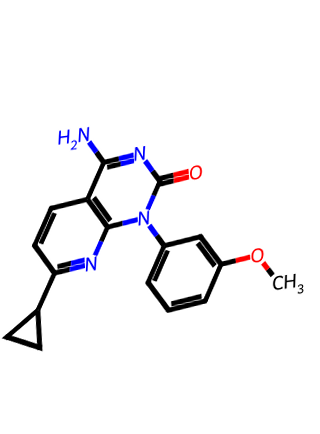 COc1cccc(-n2c(=O)nc(N)c3ccc(C4CC4)nc32)c1